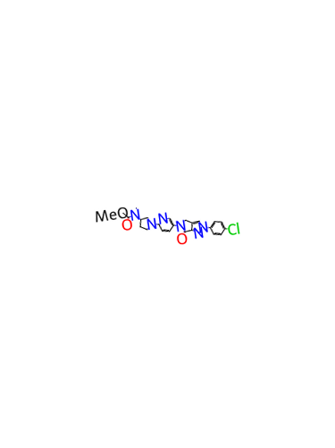 COC(=O)N(C)[C@H]1CCN(c2ccc(N3Cc4cn(-c5ccc(Cl)cc5)nc4C3=O)cn2)C1